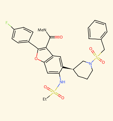 CCS(=O)(=O)Nc1cc2oc(-c3ccc(F)cc3)c(C(=O)NC)c2cc1[C@@H]1CCCN(S(=O)(=O)Cc2ccccc2)C1